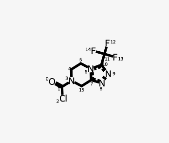 O=C(Cl)N1CCn2c(nnc2C(F)(F)F)C1